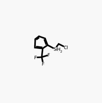 FC(F)(F)c1ccccc1[SiH2]CCl